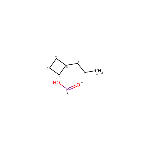 CCCC1CCC1.O=PO